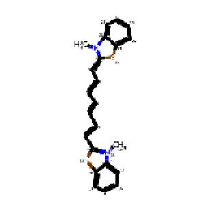 CN1/C(=C/C=C/C=C/C=C/c2sc3ccccc3[n+]2C)Sc2ccccc21